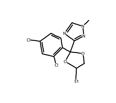 CCC1COC(c2ncn(C)n2)(c2ccc(Cl)cc2Cl)O1